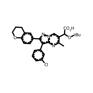 Cc1nc2c(-c3cccc(Cl)c3)c(-c3ccc4c(c3)CCCO4)nn2cc1C(OC(C)(C)C)C(=O)O